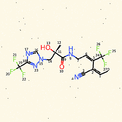 C/C=C(C#N)\C(=C/CNC(=O)[C@@](C)(O)Cn1cnc(C(F)(F)F)n1)C(F)(F)F